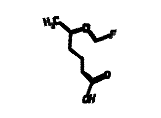 CC(CCCC(=O)O)OCF